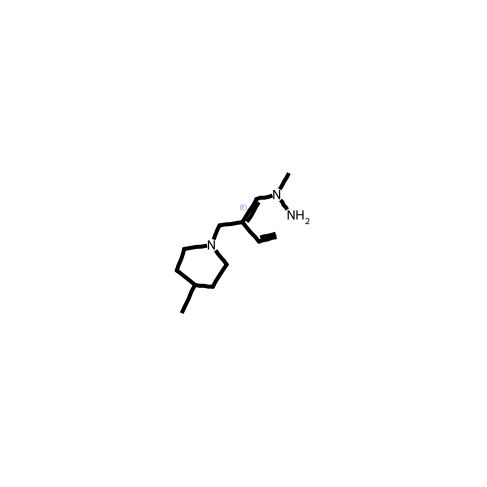 C=C/C(=C\N(C)N)CN1CCC(C)CC1